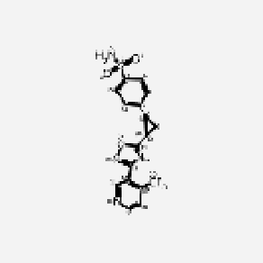 NS(=O)(=O)c1ccc([C@@H]2C[C@H]2c2nc(-c3cnccc3C(F)(F)F)no2)cc1